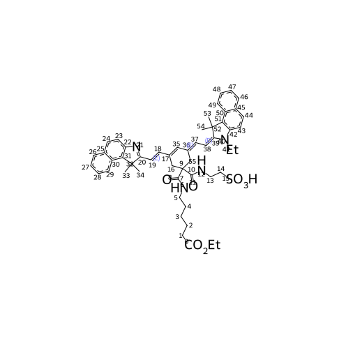 CCOC(=O)CCCCCNC(=O)C1(C(=O)NCCS(=O)(=O)O)CC(/C=C/C2=Nc3ccc4ccccc4c3C2(C)C)=CC(=C/C=C2/N(CC)c3ccc4ccccc4c3C2(C)C)/C1